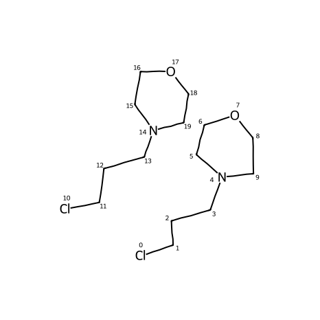 ClCCCN1CCOCC1.ClCCCN1CCOCC1